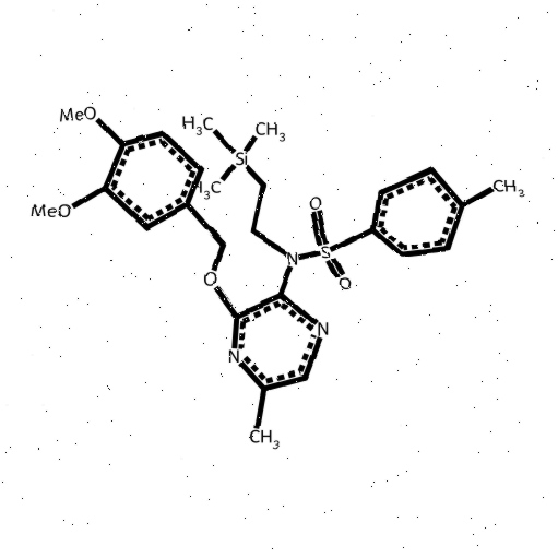 COc1ccc(COc2nc(C)cnc2N(CC[Si](C)(C)C)S(=O)(=O)c2ccc(C)cc2)cc1OC